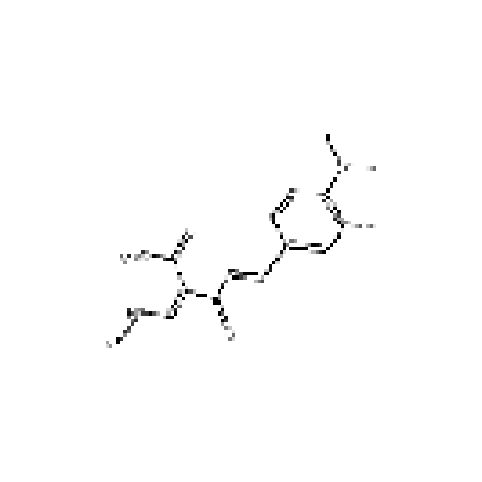 CCN/C=C(/C(=O)/C=C/c1ccc(N(C)C)c(C)c1)C(=O)OC